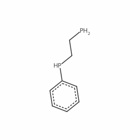 PCCPc1ccccc1